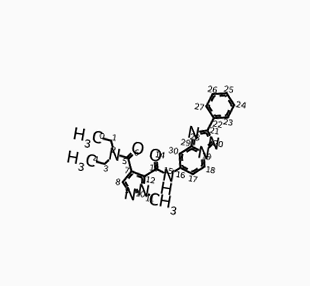 CCN(CC)C(=O)c1cnn(C)c1C(=O)Nc1ccn2nc(-c3ccccc3)nc2c1